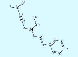 CC(=O)C#CCN(C/C=C/c1ccccc1)SI